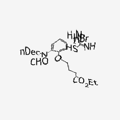 Br.CCCCCCCCCCN(C=O)c1ccccc1OCCCC(=O)OCC.N=C(N)S